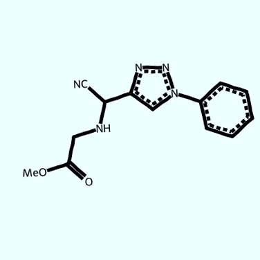 COC(=O)CNC(C#N)c1cn(-c2ccccc2)nn1